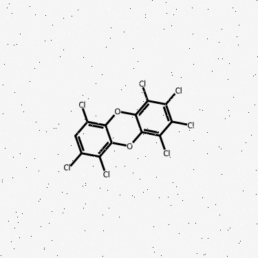 Clc1cc(Cl)c2c(c1Cl)Oc1c(Cl)c(Cl)c(Cl)c(Cl)c1O2